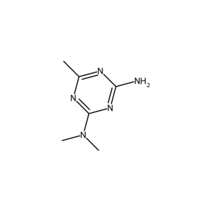 Cc1nc(N)nc(N(C)C)n1